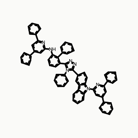 c1ccc(-c2cc(Nc3cccc(-c4nnc(-c5ccc6c(c5)c5ccccc5n6-c5cc(-c6ccccc6)cc(-c6ccccc6)n5)n4-c4ccccc4)c3-c3ccccc3)nc(-c3ccccc3)c2)cc1